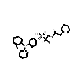 Cc1ccccc1[S+](c1ccccc1)c1ccccc1.O=C(CC1CCCCC1)OCC(F)(F)S(=O)(=O)O